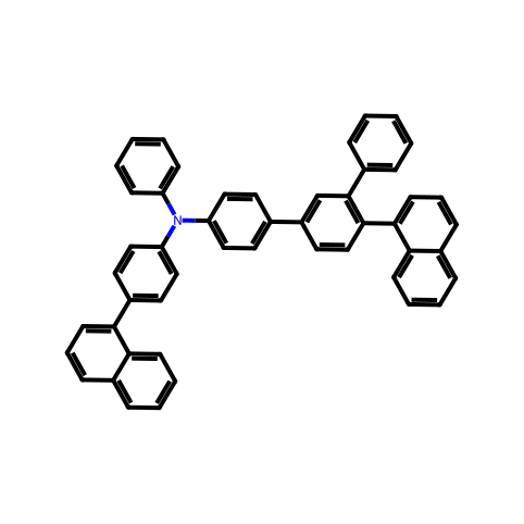 c1ccc(-c2cc(-c3ccc(N(c4ccccc4)c4ccc(-c5cccc6ccccc56)cc4)cc3)ccc2-c2cccc3ccccc23)cc1